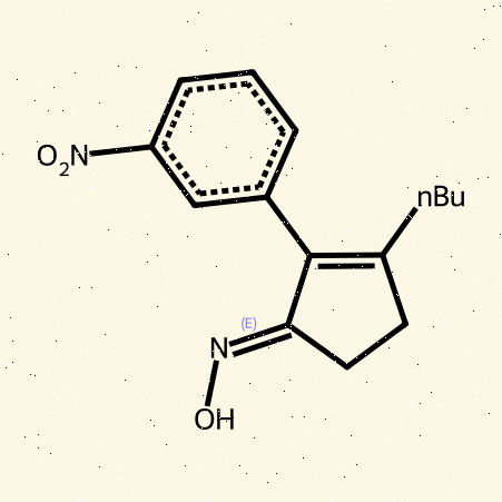 CCCCC1=C(c2cccc([N+](=O)[O-])c2)/C(=N/O)CC1